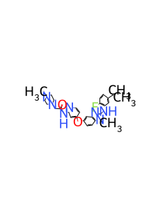 CC(C)c1ccc(F)c(Nc2nc3cc(Oc4ccnc(NC(=O)CN5CCN(C)CC5)c4)ccc3n2C)c1